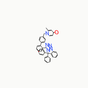 Cc1cc(=O)ccn1Cc1ccc(-c2ccccc2-c2nnnn2C(c2ccccc2)(c2ccccc2)c2ccccc2)cc1